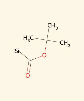 CC(C)(C)OC(=O)[Si]